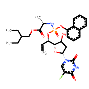 C=C[C@@H](O[P@](=O)(N[C@@H](C)C(=O)OCC(CC)CC)Oc1cccc2ccccc12)[C@H]1O[C@@H](n2cc(F)c(=O)[nH]c2=O)C[C@@H]1O